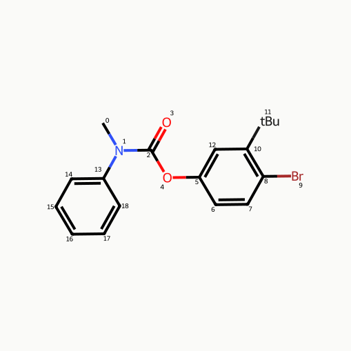 CN(C(=O)Oc1ccc(Br)c(C(C)(C)C)c1)c1ccccc1